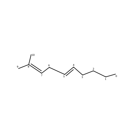 CCCCC=CCC=C(C)C